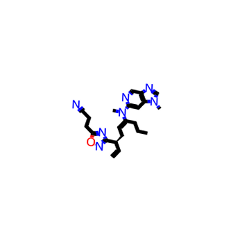 C=C[C@H](C/C=C(\CCC)N(C)c1cc2c(cn1)ncn2C)c1noc(CCC#N)n1